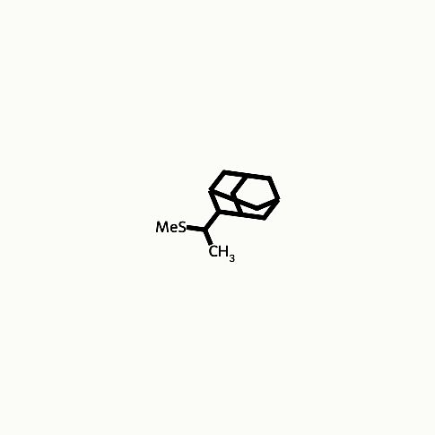 CSC(C)C1C2CC3CC(C2)CC1C3